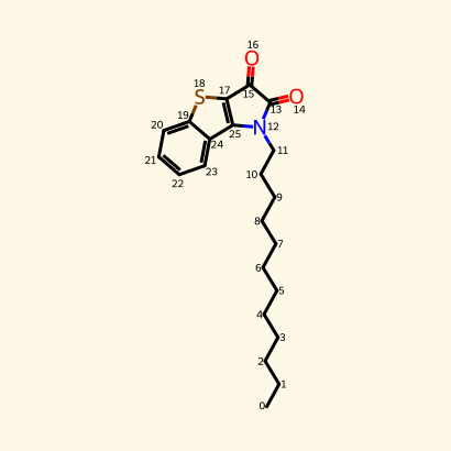 CCCCCCCCCCCCN1C(=O)C(=O)c2sc3ccccc3c21